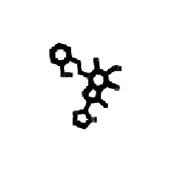 COc1ccccc1CCn1c(=O)n(C(C)(C)C)c(=O)c2c(C)c(C3NC=CO3)sc21